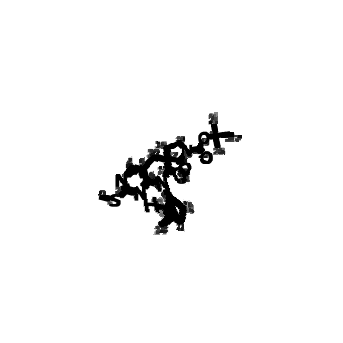 CSc1ncc2c(n1)N(C13CC(C1)[C@@H]3C)C(=O)C1(CCN(C(=O)OC(C)(C)C)C1=O)C2